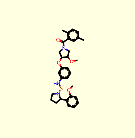 COc1ccccc1C1CCCN1SNc1cccc(OC2CN(C(=O)c3cc(C)ccc3C)CC2OC)c1